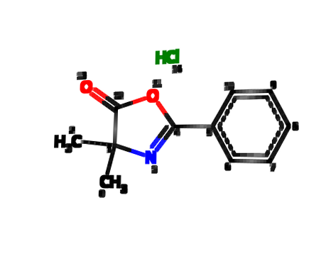 CC1(C)N=C(c2ccccc2)OC1=O.Cl